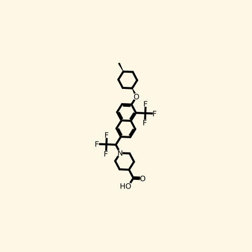 C[C@H]1CC[C@@H](Oc2ccc3cc(C(N4CCC(C(=O)O)CC4)C(F)(F)F)ccc3c2C(F)(F)F)CC1